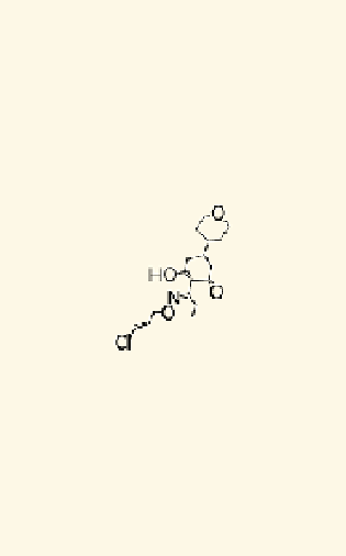 CC/C(=N\OC/C=C/Cl)C1=C(O)CC(C2CCOCC2)CC1=O